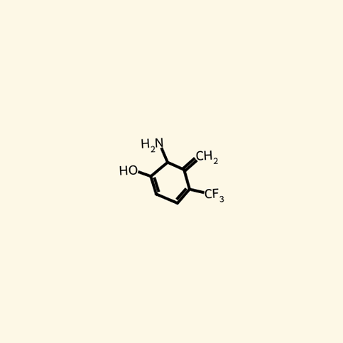 C=C1C(C(F)(F)F)=CC=C(O)C1N